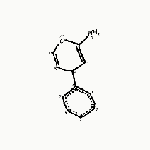 NC1=CC(c2ccccc2)C=CO1